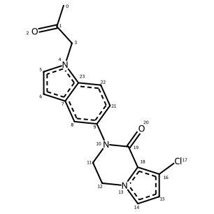 CC(=O)Cn1ccc2cc(N3CCn4ccc(Cl)c4C3=O)ccc21